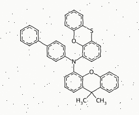 CC1(C)c2ccccc2Oc2c(N(c3ccc(-c4ccccc4)cc3)c3cccc4c3Oc3ccccc3S4)cccc21